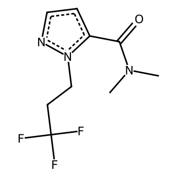 CN(C)C(=O)c1ccnn1CCC(F)(F)F